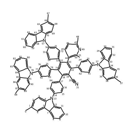 Cc1ccc2c(c1)c1ccccc1n2-c1ccc(-c2c(C#N)c(-c3ccc(-n4c5ccccc5c5cc(C)ccc54)cc3)c(-c3ccc(C)nc3C)c(-c3ccc(-n4c5ccccc5c5cc(C)ccc54)cc3)c2-c2ccc(-n3c4ccccc4c4cc(C)ccc43)cc2)cc1